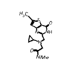 CNC(=O)CN(Cc1nc2cc(C)sc2c(=O)[nH]1)C1CC1